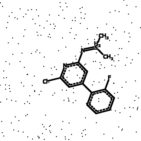 C[SH2](C)=Nc1cc(-c2ccccc2F)cc(Cl)n1